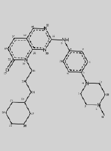 CN1CCN(c2ccc(Nc3ncc4ccc(=O)n(CCCC5CCCCC5)c4n3)cc2)CC1